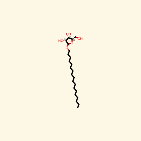 CCCCCCCCCCCCCCCCCCOC1O[C@H](CO)[C@@H](O)[C@H]1O